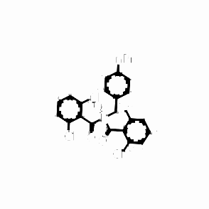 CCCc1ccc(CP(=O)(C(=O)c2c(Cl)cccc2Cl)C(=O)c2c(Cl)cccc2Cl)cc1